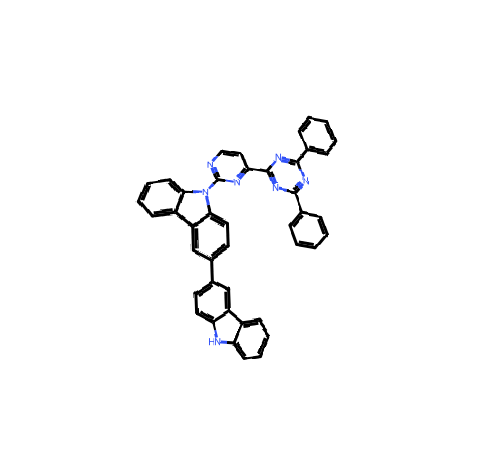 c1ccc(-c2nc(-c3ccccc3)nc(-c3ccnc(-n4c5ccccc5c5cc(-c6ccc7[nH]c8ccccc8c7c6)ccc54)n3)n2)cc1